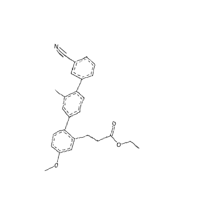 CCOC(=O)CCc1cc(OC)ccc1-c1ccc(-c2cccc(C#N)c2)c(C)c1